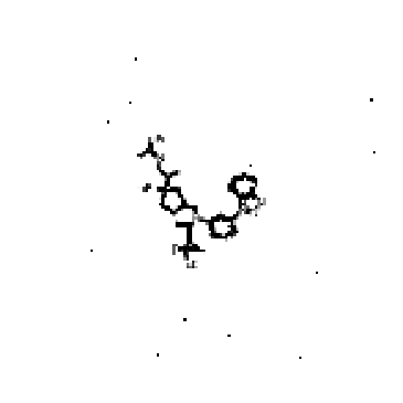 C=C(C1CC1(F)CC)N(CC1CCC(CCC)(C(C)C/N=C(\C)CCC)C1)c1cccc(-n2nnc3ccccc32)c1